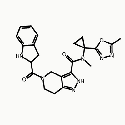 Cc1nnc(C2(N(C)C(=O)c3[nH]nc4c3CN(C(=O)C3Cc5ccccc5N3)CC4)CC2)o1